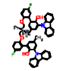 Cc1cc(-c2cc(F)ccc2OC[Si](COc2ccc(F)cc2-c2cc(C)cc(-n3c4ccccc4c4ccccc43)c2O)(C(C)C)C(C)C)c(O)c(-n2c3ccccc3c3ccccc32)c1